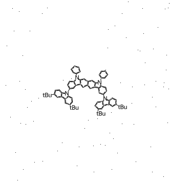 CC(C)(C)c1ccc2c(c1)c1cc(C(C)(C)C)ccc1n2-c1ccc2c(c1)c1cc3cc4c5cc(-n6c7ccc(C(C)(C)C)cc7c7cc(C(C)(C)C)ccc76)ccc5n(-c5ccccc5)c4cc3cc1n2-c1ccccc1